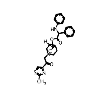 Cc1nc(C(=O)C[N+]23CCC(CC2)[C@@H](OC(=O)C(Nc2ccccc2)c2ccccc2)C3)cs1